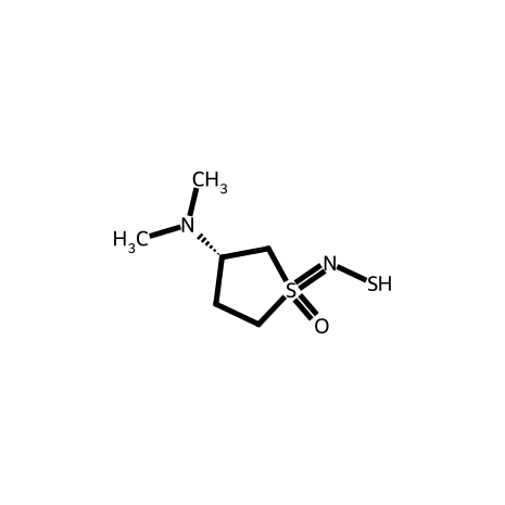 CN(C)[C@H]1CCS(=O)(=NS)C1